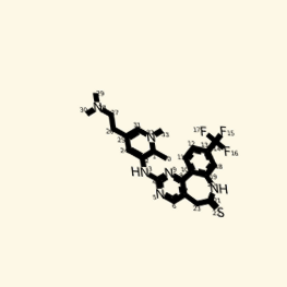 CC1C(Nc2ncc3c(n2)-c2ccc(C(F)(F)F)cc2NC(=S)C3)=CC(CCN(C)C)=CN1C